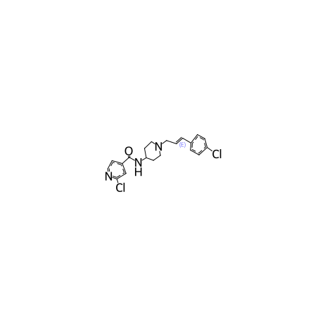 O=C(NC1CCN(C/C=C/c2ccc(Cl)cc2)CC1)c1ccnc(Cl)c1